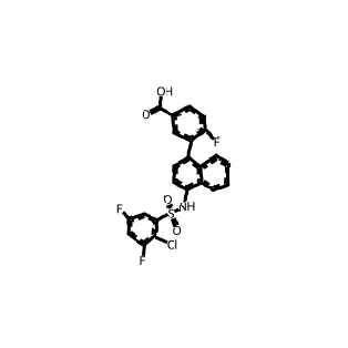 O=C(O)c1ccc(F)c(-c2ccc(NS(=O)(=O)c3cc(F)cc(F)c3Cl)c3ccccc23)c1